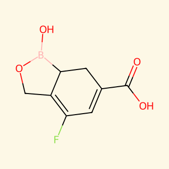 O=C(O)C1=CC(F)=C2COB(O)C2C1